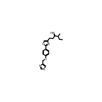 CCC(C)C(=N)CCc1coc(-c2ccc(OCc3cscn3)cc2)n1